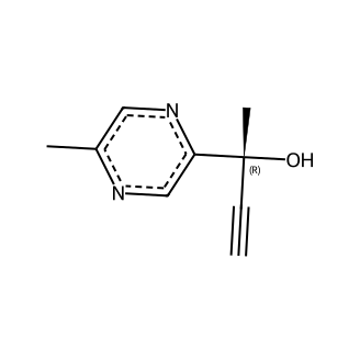 C#C[C@@](C)(O)c1cnc(C)cn1